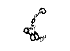 CC(Cc1ccc(OCCN2CCCCCC2)cc1)Nc1ccccc1C1=Cc2ccc(O)cc2CCC1